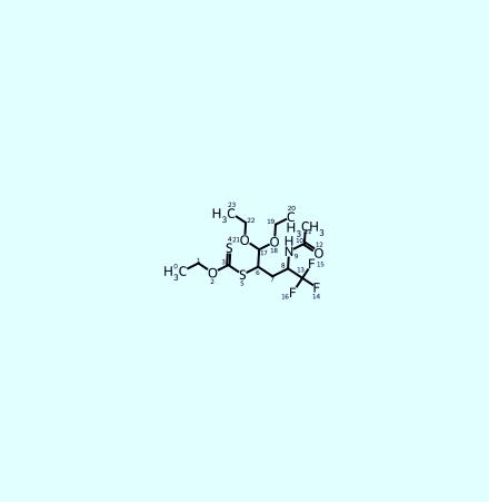 CCOC(=S)SC(CC(NC(C)=O)C(F)(F)F)C(OCC)OCC